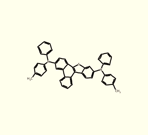 Cc1ccc(N(c2ccccc2)c2ccc3c(c2)sc2c4ccc(N(c5ccccc5)c5ccc(C)cc5)cc4c4ccccc4c32)cc1